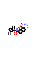 NC(=O)c1cccc2ccc(C(=O)N[C@@H]3C[C@H]4CC[C@@H]3N4)cc12